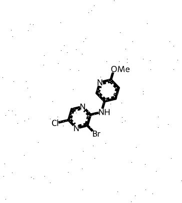 COc1ccc(Nc2ncc(Cl)nc2Br)cn1